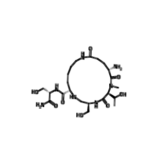 CC(O)[C@H]1C(=O)N[C@@H](CO)CN[C@H](C(=O)N[C@@H](CO)C(N)=O)CCCCNC(=O)CC[C@H](N)C(=O)N1C